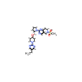 CCc1cnc(N2CCC(OC[C@@H]3CCCN3c3ncc4c(n3)CCN(S(C)(=O)=O)C4)CC2)nc1